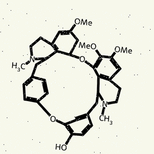 COC1=CC2=C3C(C1)Oc1c(OC)c(OC)cc4c1C(Cc1ccc(O)c(c1)Oc1ccc(cc1)CC3N(C)CC2)N(C)CC4